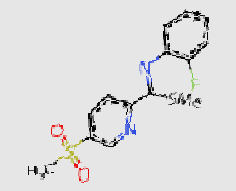 CSC(=Nc1ccccc1F)c1ccc(S(C)(=O)=O)cn1